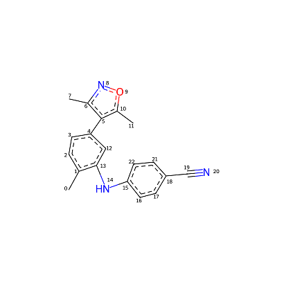 Cc1ccc(-c2c(C)noc2C)cc1Nc1ccc(C#N)cc1